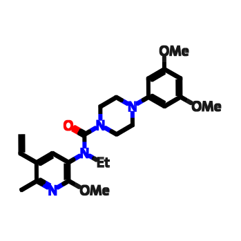 C=Cc1cc(N(CC)C(=O)N2CCN(c3cc(OC)cc(OC)c3)CC2)c(OC)nc1C